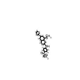 COc1cc(-c2nccs2)cc2cnc(Nc3ccc(S(N)(=O)=O)cc3)nc12